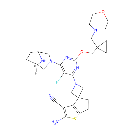 N#Cc1c(N)sc2c1C1(CC2)CN(c2nc(OCC3(CN4CCOCC4)CC3)nc(N3CC4CC[C@H](C3)N4)c2F)C1